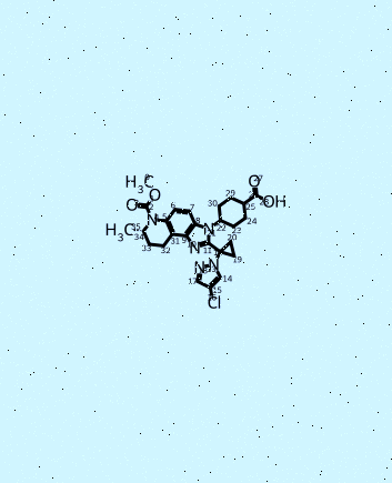 COC(=O)N1c2ccc3c(nc(C4(n5cc(Cl)cn5)CC4)n3C3CCC(C(=O)O)CC3)c2CC[C@@H]1C